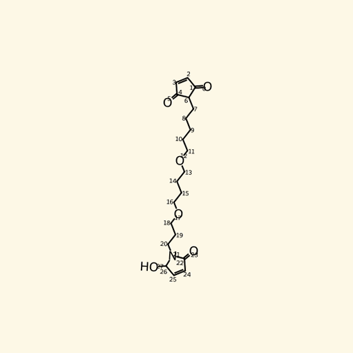 O=C1C=CC(=O)C1CCCCCOCCCCOCCCN1C(=O)C=CC1O